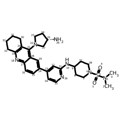 CN(C)S(=O)(=O)N1CCC(Nc2cc(-c3ccc4nc5c(c(N6CC[C@H](N)C6)c4c3)CCCC5)ccn2)CC1